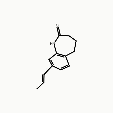 C/C=C/c1ccc2c(c1)NC(=O)CCC2